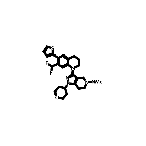 CNN1CCc2c(c(N3CCCc4cc(-c5cccs5)c(C(F)F)cc43)nn2C2CCOCC2)C1